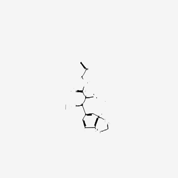 C=CCOC(=O)C(N)C(O)c1ccc2c(c1)OCO2